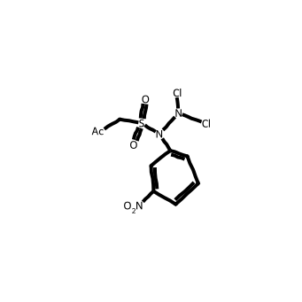 CC(=O)CS(=O)(=O)N(c1cccc([N+](=O)[O-])c1)N(Cl)Cl